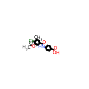 Cc1cc(C(=O)Nc2ccc(C(=O)O)cc2)cc(OC(C)C)c1Cl